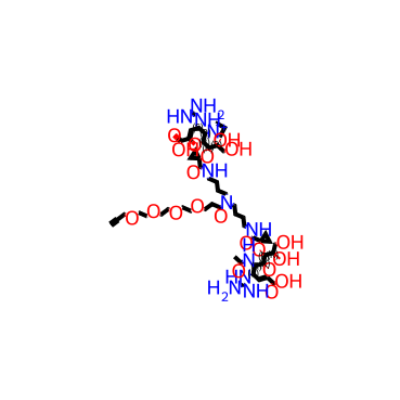 C#CCOCCOCCOCCOCCC(=O)N(CCCCNC(=O)C1(O[C@@H]([C@@H]2OC(C(=O)O)=C[C@H](NC(=N)N)[C@H]2NC(C)=O)[C@H](O)CO)CC1)CCCCNC(=O)C1(O[C@@H]([C@@H]2OC(C(=O)O)=C[C@H](NC(=N)N)[C@H]2[N+]2=CCC2)[C@H](O)CO)CC1